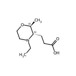 CCN1CCO[C@@H](C)[C@@H]1CCC(=O)O